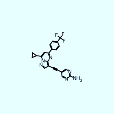 Nc1ncc(C#Cc2cnn3c(C4CC4)cc(-c4ccc(C(F)(F)F)cc4)nc23)cn1